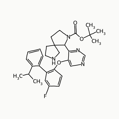 CC(C)c1ccccc1-c1cc(F)ccc1Oc1cncnc1C1N(C(=O)OC(C)(C)C)CCC12CCNC2